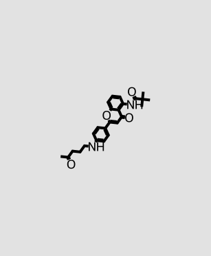 CC(=O)CCCNc1ccc(-c2cc(=O)c3c(NC(=O)C(C)(C)C)cccc3o2)cc1